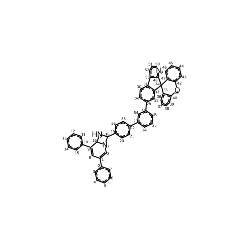 C1=C(c2ccccc2)C=C(c2ccccc2)C2NC(c3ccc(-c4cccc(-c5ccc6c(c5)C5(c7ccccc7Oc7ccccc75)c5ncccc5-6)c4)cc3)N12